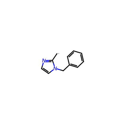 [CH2]c1nccn1Cc1ccccc1